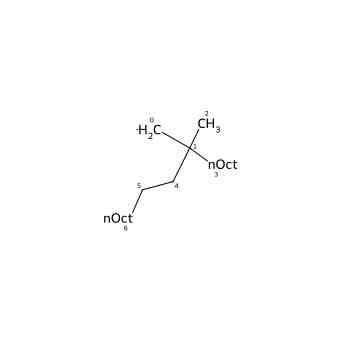 [CH2]C(C)(CCCCCCCC)CCCCCCCCCC